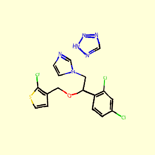 Clc1ccc(C(Cn2ccnc2)OCc2ccsc2Cl)c(Cl)c1.c1nn[nH]n1